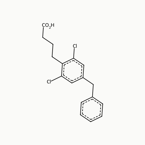 O=C(O)CCCc1c(Cl)cc(Cc2ccccc2)cc1Cl